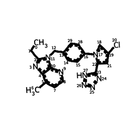 CCc1nc2c(C)ccnc2n1Cc1ccc(-n2cc(Cl)cc2-c2nnn[nH]2)cc1